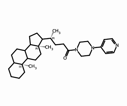 C[C@H](CCC(=O)N1CCN(c2ccncc2)CC1)C1CCC2C3CCC4CCCC[C@]4(C)C3CC[C@@]21C